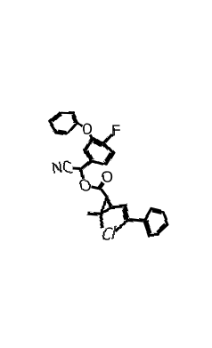 CC1(C)C(C=C(Cl)c2ccccc2)C1C(=O)OC(C#N)c1ccc(F)c(Oc2ccccc2)c1